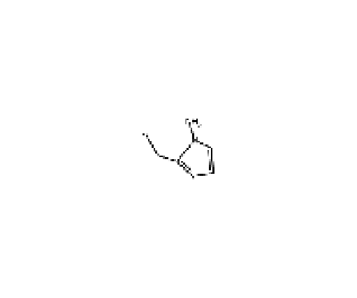 [CH2]Cc1nccn1N